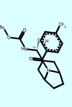 CC(C)(C)OC(=O)N[C@H](C(=O)O)C1CC2CCC(C1)N2C(=O)c1ccc(C(F)(F)F)cc1